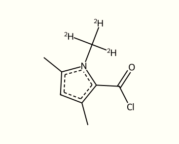 [2H]C([2H])([2H])n1c(C)cc(C)c1C(=O)Cl